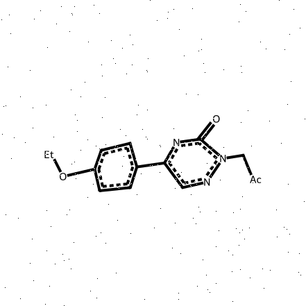 CCOc1ccc(-c2cnn(CC(C)=O)c(=O)n2)cc1